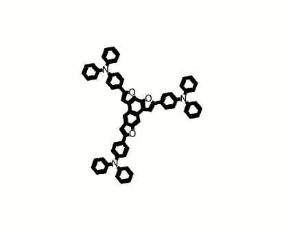 c1ccc(N(c2ccccc2)c2ccc(-c3cc4cc5c(cc4o3)c3cc(-c4ccc(N(c6ccccc6)c6ccccc6)cc4)oc3c3oc(-c4ccc(N(c6ccccc6)c6ccccc6)cc4)cc53)cc2)cc1